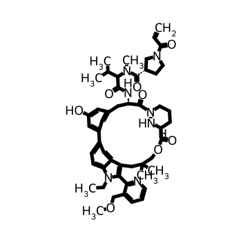 C=CC(=O)N1CC[C@H](C(=O)N(C)C(C(=O)N[C@H]2Cc3cc(O)cc(c3)-c3ccc4c(c3)c(c(-c3ncccc3COC)n4CC)CC(C)(C)COC(=O)[C@@H]3CCCN(N3)C2=O)C(C)C)C1